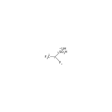 O=S(=O)(O)C(F)C(F)(F)F.[LiH]